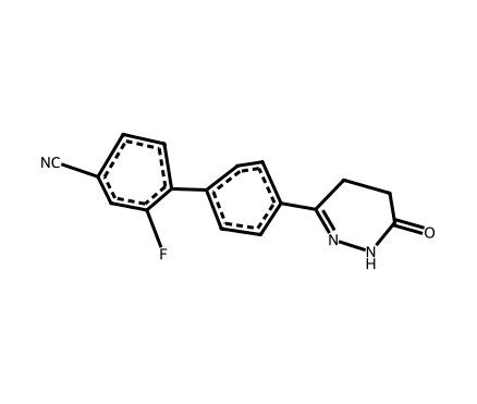 N#Cc1ccc(-c2ccc(C3=NNC(=O)CC3)cc2)c(F)c1